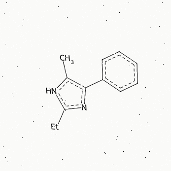 CCc1nc(-c2ccccc2)c(C)[nH]1